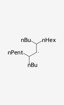 CCCCCCC([CH]C(CCCC)CCCCC)CCCC